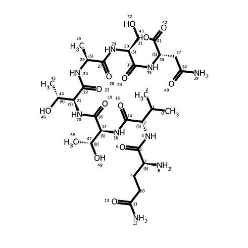 CC(C)[C@H](NC(=O)[C@@H](N)CCC(N)=O)C(=O)N[C@H](C(=O)N[C@H](C(=O)N[C@@H](C)C(=O)N[C@@H](CO)C(=O)N[C@@H](CC(N)=O)C(=O)O)[C@@H](C)O)[C@@H](C)O